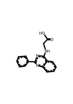 O=C(O)CNc1nc(-c2ccccc2)nc2ccccc12